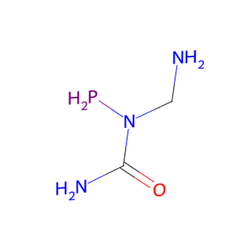 NCN(P)C(N)=O